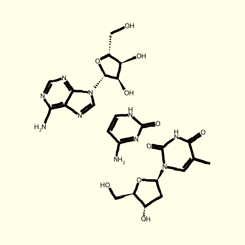 Cc1cn([C@H]2C[C@H](O)[C@@H](CO)O2)c(=O)[nH]c1=O.Nc1cc[nH]c(=O)n1.Nc1ncnc2c1ncn2[C@@H]1O[C@H](CO)[C@@H](O)[C@H]1O